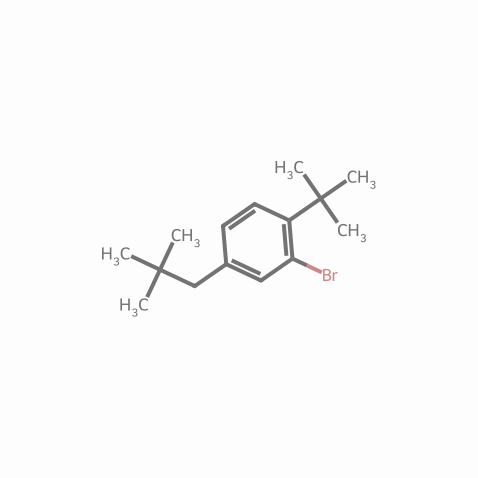 CC(C)(C)Cc1ccc(C(C)(C)C)c(Br)c1